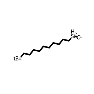 CC(C)(C)CCCCCCCCCC[SiH2][O]